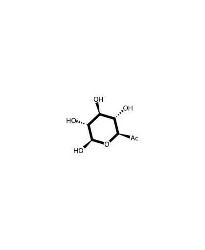 CC(=O)[C@H]1O[C@@H](O)[C@H](O)[C@@H](O)[C@@H]1O